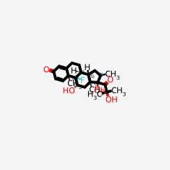 C[C@@H]1C[C@H]2[C@@H]3CCC4=CC(=O)C=C[C@]4(C)[C@@]3(F)[C@@H](O)C[C@]2(C)[C@@]1(O)C(=O)C(C)(C)O